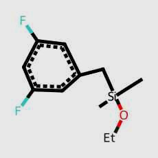 CCO[Si](C)(C)Cc1cc(F)cc(F)c1